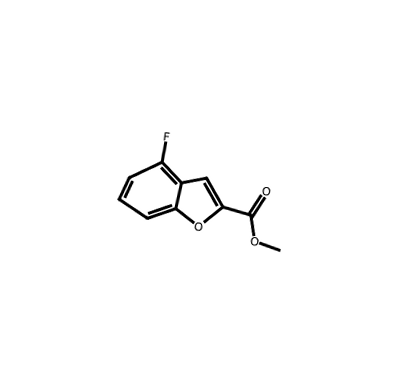 COC(=O)c1cc2c(F)cccc2o1